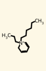 CCCCCC[N+]1(CCC)C=CC=CC1